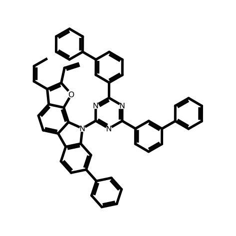 C=Cc1oc2c(ccc3c4ccc(-c5ccccc5)cc4n(-c4nc(-c5cccc(-c6ccccc6)c5)nc(-c5cccc(-c6ccccc6)c5)n4)c32)c1/C=C\C